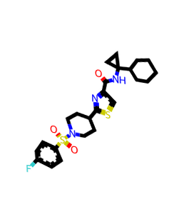 O=C(NC1(C2CCCCC2)CC1)c1csc(C2CCN(S(=O)(=O)c3ccc(F)cc3)CC2)n1